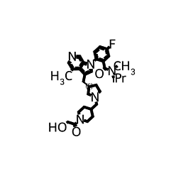 Cc1cncc2c1c(C[C@H]1CCN(CC3CCN(C(=O)CO)CC3)C1)cn2-c1ccc(F)cc1C(=O)N(C)C(C)C